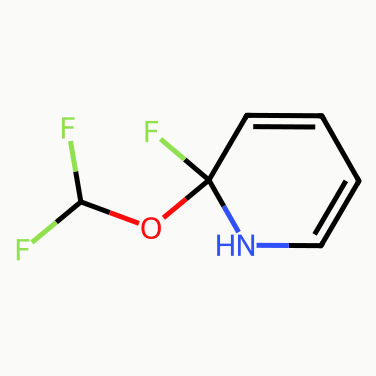 FC(F)OC1(F)C=CC=CN1